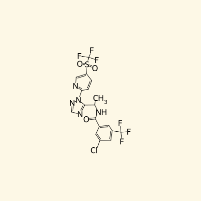 CC(NC(=O)c1cc(Cl)cc(C(F)(F)F)c1)c1ncnn1-c1ccc(S(=O)(=O)C(F)(F)F)cn1